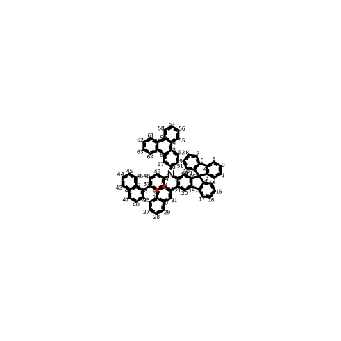 c1ccc2c(c1)-c1ccccc1C21c2ccccc2-c2cc(-c3ccc4ccccc4c3)c(N(c3ccc(-c4cccc5ccccc45)cc3)c3ccc4c5ccccc5c5ccccc5c4c3)cc21